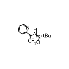 CC(C)(C)[S@+]([O-])N[C@H](c1ccccn1)C(F)(F)F